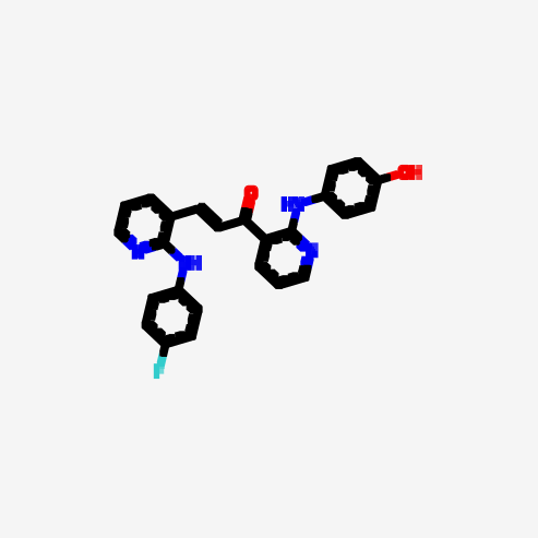 O=C(C=Cc1cccnc1Nc1ccc(F)cc1)c1cccnc1Nc1ccc(O)cc1